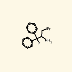 CC(C)CC(N)C(F)(c1ccccc1)c1ccccc1